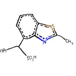 CCCC(c1cccc2sc(C)nc12)S(=O)(=O)O